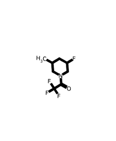 CC1CC(F)CN(C(=O)C(F)(F)F)C1